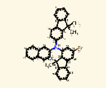 CC1(C)c2ccccc2-c2ccc(N(c3ccc4ccccc4c3)c3cc(Br)cc4c3C(C)(C)c3ccccc3-4)cc21